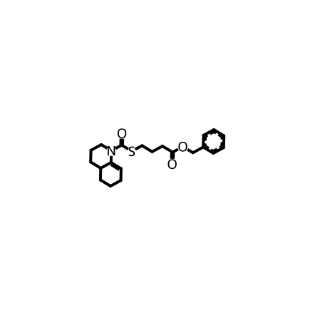 O=C(CCCSC(=O)N1CCCC2CCCC=C21)OCc1ccccc1